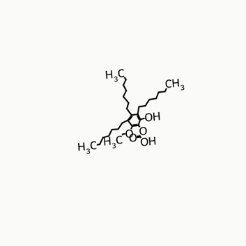 CCCCCCCc1c(O)c(OC(=O)O)c(OCC)c(CCCCCCC)c1CCCCCCC